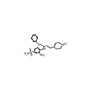 CC(=O)N1CCN(CC[C@H](CSc2ccccc2)Nc2ccc(S(N)(=O)=O)cc2[N+](=O)[O-])CC1